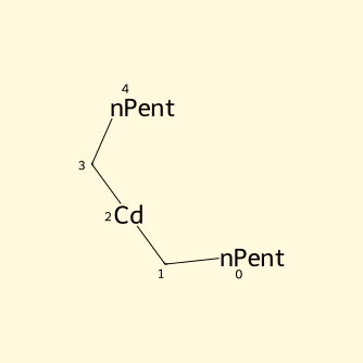 CCCCC[CH2][Cd][CH2]CCCCC